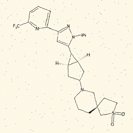 CC(C)n1nc(-c2cccc(C(F)(F)F)n2)cc1C1[C@H]2CC(N3CCC[C@]4(CCS(=O)(=O)C4)C3)C[C@@H]12